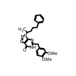 COc1ccc(Cc2nc3c(nnn3C(C)CCCc3ccccc3)c(=O)[nH]2)cc1OC